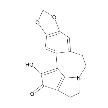 O=C1C(O)=C2C3=C1CCN3CCc1cc3c(cc12)OCO3